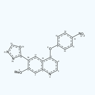 COc1cc2nccc(Oc3ccc([N+](=O)[O-])cc3)c2cc1-c1nnco1